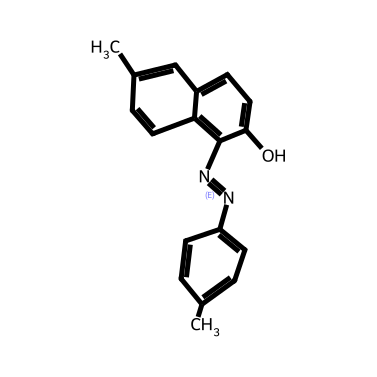 Cc1ccc(/N=N/c2c(O)ccc3cc(C)ccc23)cc1